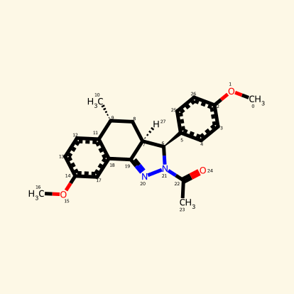 COc1ccc([C@@H]2[C@@H]3C[C@@H](C)c4ccc(OC)cc4C3=NN2C(C)=O)cc1